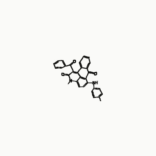 Cc1ccc(Nc2ccc3c4c2C(=O)c2ccccc2-c4c(C(=O)c2ccccc2)c(=O)n3C)cc1